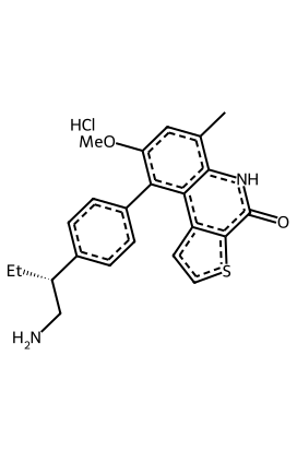 CC[C@@H](CN)c1ccc(-c2c(OC)cc(C)c3[nH]c(=O)c4sccc4c23)cc1.Cl